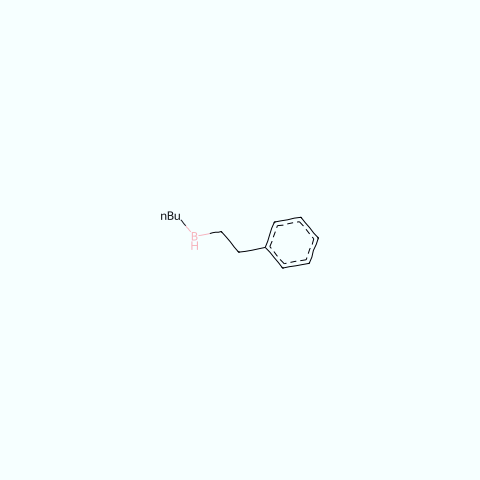 CCCCBCCc1ccccc1